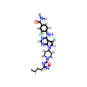 CCCCc1noc(N2CCC(n3cc(F)c4c(Nc5ccc(C(=O)N(C)C)cc5F)ncnc43)CC2)n1